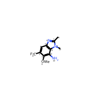 COc1c(C(F)(F)F)cc2nc(C)n(C)c2c1N